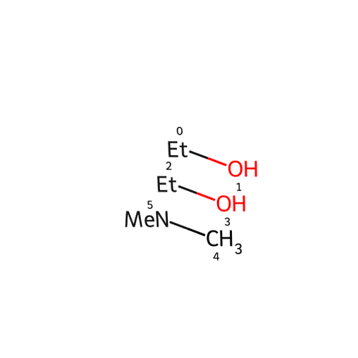 CCO.CCO.CNC